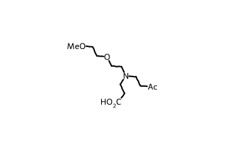 COCCOCCN(CCC(C)=O)CCC(=O)O